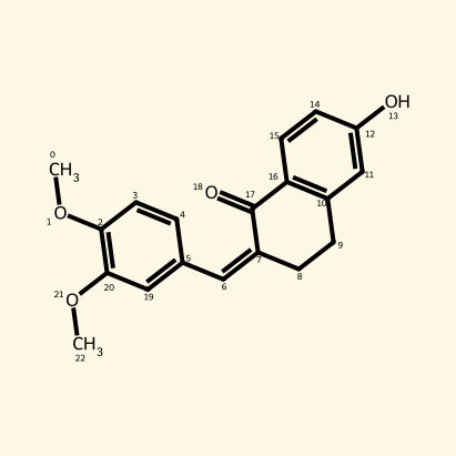 COc1ccc(C=C2CCc3cc(O)ccc3C2=O)cc1OC